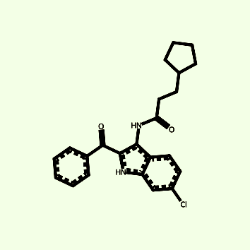 O=C(CCC1CCCC1)Nc1c(C(=O)c2ccccc2)[nH]c2cc(Cl)ccc12